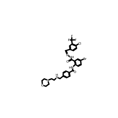 O=C(Nc1ccc(Br)cc1C(=O)N/N=C\c1ccc(Cl)c(C(F)(F)F)c1)c1ccc(CNCCN2CCOCC2)cc1